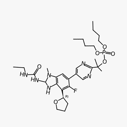 CCCCOP(=O)(OCCCC)OC(C)(C)c1ncc(-c2cc3c(c([C@H]4CCCO4)c2F)NC(NC(=O)NCC)N3C)cn1